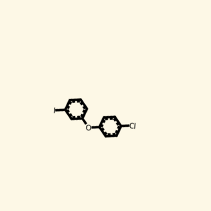 Clc1ccc(Oc2cccc(I)c2)cc1